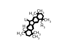 [Li][CH]1c2cc3c(cc2-c2cc4c(cc21)C(C)(C)CCC4(C)C)C(C)(C)CCC3(C)C